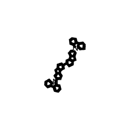 c1ccc2c(c1)c1ccccc1n2-c1ccc2c(c1)Cc1ccc(-c3ccc4c(c3)-c3ccc(-n5c6ccccc6c6ccccc65)cc3C4)cc1-2